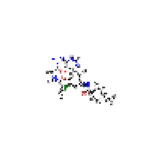 CC#CC(=O)N(C)[C@@H](C)COc1c(N)ncnc1-c1cc(F)cc(NC(=O)c2ccc(C3CC3)cc2F)c1C